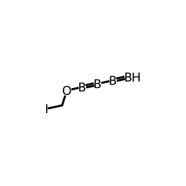 B=BB=BOCI